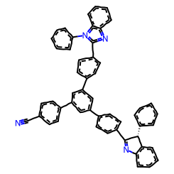 N#Cc1ccc(-c2cc(-c3ccc(C4=Nc5ccccc5[C@H]4c4ccccc4)cc3)cc(-c3ccc(-c4nc5ccccc5n4-c4ccccc4)cc3)c2)cc1